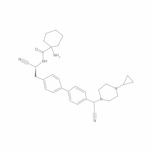 N#CC(c1ccc(-c2ccc(C[C@@H](C#N)NC(=O)C3(N)CCCCC3)cc2)cc1)N1CCN(C2CC2)CC1